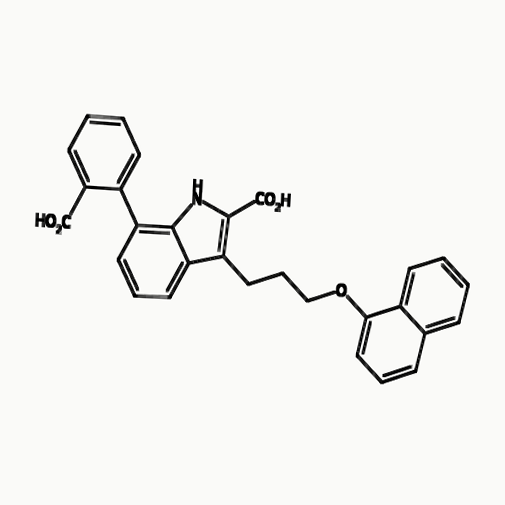 O=C(O)c1ccccc1-c1cccc2c(CCCOc3cccc4ccccc34)c(C(=O)O)[nH]c12